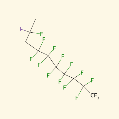 CC(F)(I)CC(F)(F)C(F)(F)C(F)(F)C(F)(F)C(F)(F)C(F)(F)C(F)(F)F